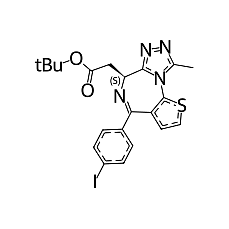 Cc1nnc2n1-c1sccc1C(c1ccc(I)cc1)=N[C@H]2CC(=O)OC(C)(C)C